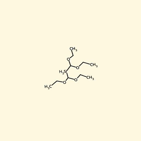 CCOC(OCC)[SiH2]C(OCC)OCC